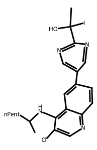 CCCCCC(C)Nc1c(Cl)cnc2ccc(-c3cnc(C(C)(O)I)nc3)cc12